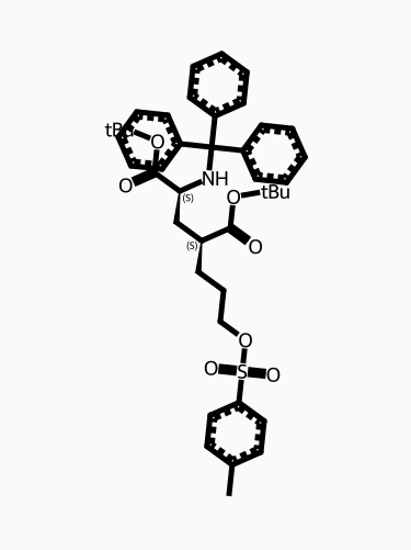 Cc1ccc(S(=O)(=O)OCCC[C@@H](C[C@H](NC(c2ccccc2)(c2ccccc2)c2ccccc2)C(=O)OC(C)(C)C)C(=O)OC(C)(C)C)cc1